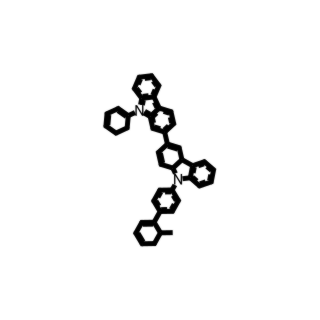 CC1CC=CC=C1c1ccc(N2c3ccccc3C3C=C(c4ccc5c6ccccc6n(C6=CC=CCC6)c5c4)C=CC32)cc1